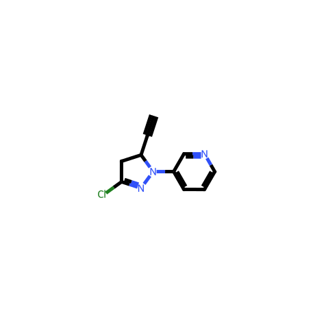 C#CC1CC(Cl)=NN1c1cccnc1